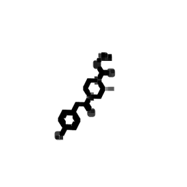 C[C@@H]1CN(C(=O)Cc2ccc(Cl)cc2)CCN1C(=O)OC(C)(C)C